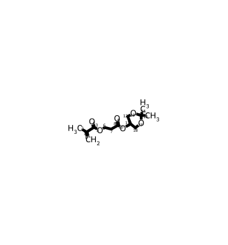 C=C(C)C(=O)OCCC(=O)OC1COC(C)(C)OC1